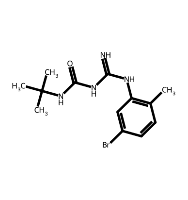 Cc1ccc(Br)cc1NC(=N)NC(=O)NC(C)(C)C